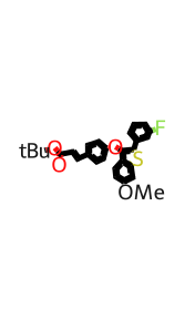 COc1ccc2c(Oc3ccc(/C=C/C(=O)OC(C)(C)C)cc3)c(-c3cccc(F)c3)sc2c1